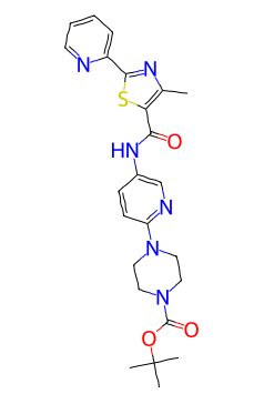 Cc1nc(-c2ccccn2)sc1C(=O)Nc1ccc(N2CCN(C(=O)OC(C)(C)C)CC2)nc1